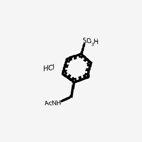 CC(=O)NCc1ccc(S(=O)(=O)O)cc1.Cl